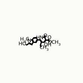 CCc1c(-c2ccc3c(c2)cc(CO)n3C)[nH]c(=O)c(C(=O)OC)c1O